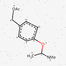 CNC(C)Oc1ccc(COC(C)=O)cc1